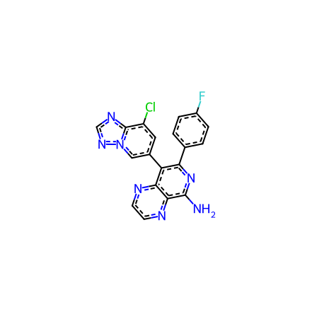 Nc1nc(-c2ccc(F)cc2)c(-c2cc(Cl)c3ncnn3c2)c2nccnc12